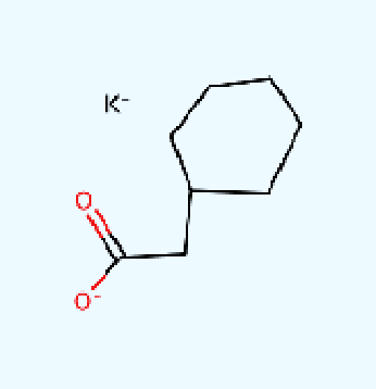 O=C([O-])CC1CCCCC1.[K+]